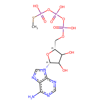 CSP(=O)(O)OP(=O)(O)OP(=O)(O)OC[C@H]1O[C@@H](n2cnc3c(N)ncnc32)C(O)C1O